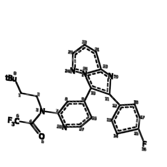 CC(C)(C)CCN(C(=O)C(F)(F)F)c1cc(-c2c(-c3ccc(F)cc3)nc3cccnn23)ccn1